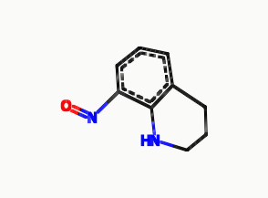 O=Nc1cccc2c1NCCC2